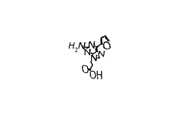 Nc1nc(-c2ccco2)c2ncn(CCC(=O)O)c2n1